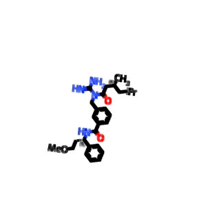 COCC[C@H](NC(=O)c1cccc(CN(C(=N)N)C(=O)C[C@@H](C)CC(C)C)c1)c1ccccc1